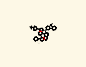 CC(C)(C)c1ccc(-c2ccc(N(c3ccc4c(c3)-c3ccccc3C4(C)C)c3ccc4ccccc4c3-c3ccccc3-c3cccc4oc5ccccc5c34)cc2)cc1